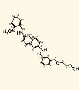 COCCOCc1cccc(CNc2ccc3nc(NCc4ccccc4OC)ccc3c2)c1